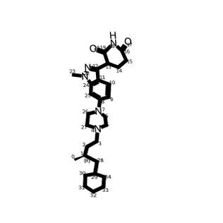 C[C@@H](CCN1CCN(c2ccc3c(C4CCC(=O)NC4=O)nn(C)c3c2)CC1)CC1CCCCC1